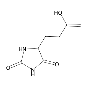 C=C(O)CCC1NC(=O)NC1=O